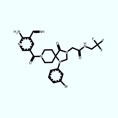 N=Cc1cc(C(=O)N2CCC3(CC2)C(=O)N(CC(=O)NCC(F)(F)F)CN3c2cccc(Br)c2)cnc1N